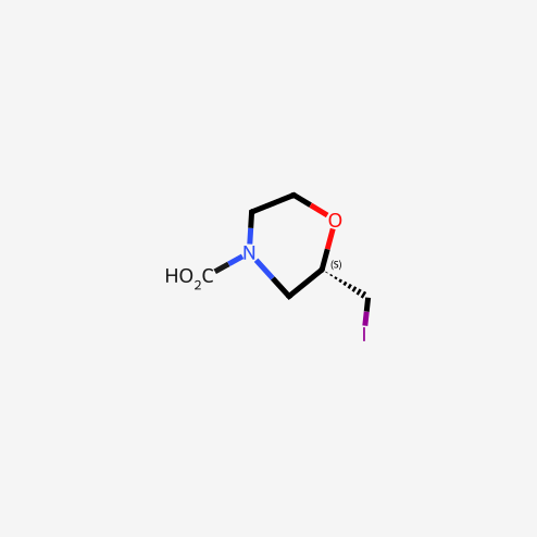 O=C(O)N1CCO[C@H](CI)C1